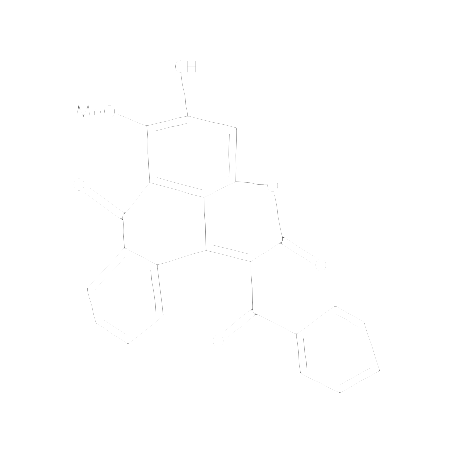 COc1c(C)cc2oc(=O)c(C(=O)c3ccccc3)c3c2c1C(=O)c1ccccc1-3